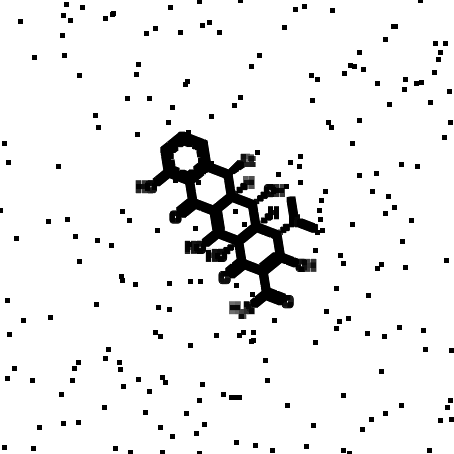 CC[C@@H]1c2cccc(O)c2C(=O)C2=C(O)[C@]3(O)C(=O)C(C(N)=O)=C(O)[C@@H](N(C)C)[C@@H]3[C@@H](O)[C@@H]21